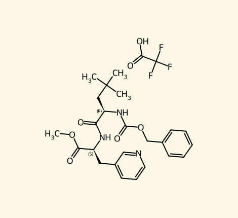 COC(=O)[C@H](Cc1cccnc1)NC(=O)[C@@H](CC(C)(C)C)NC(=O)OCc1ccccc1.O=C(O)C(F)(F)F